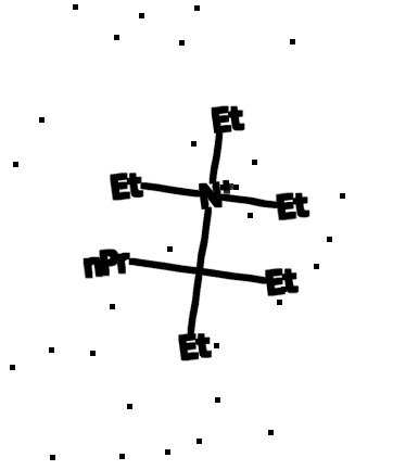 CCCC(CC)(CC)[N+](CC)(CC)CC